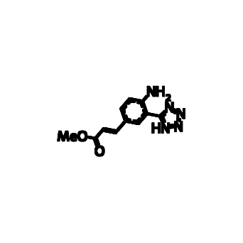 COC(=O)C=Cc1ccc(N)c(-c2nnn[nH]2)c1